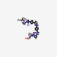 CC(=O)C[C@H](C(=O)N1CCCC1c1ncc(-c2ccc(-c3csc4nc(-c5ccc(-c6cnc([C@@H]7CCCN7C(=O)[C@@H](NC(=O)CO)C(C)C)[nH]6)cc5)cn34)cc2)[nH]1)C(C)C